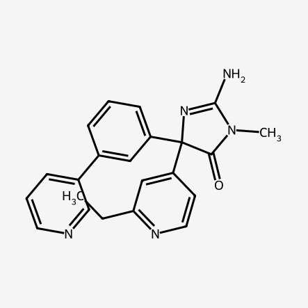 CCc1cc(C2(c3cccc(-c4cccnc4)c3)N=C(N)N(C)C2=O)ccn1